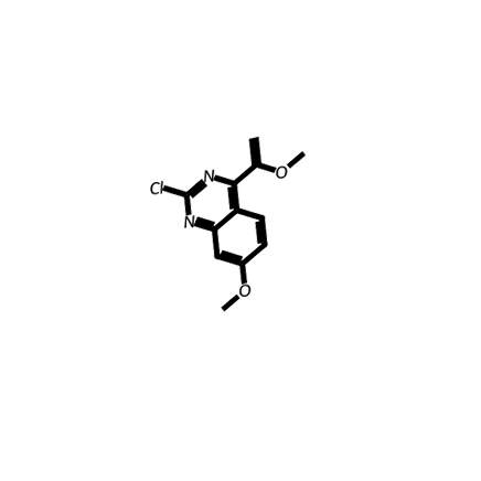 C=C(OC)c1nc(Cl)nc2cc(OC)ccc12